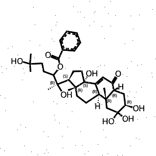 CC(C)(O)CCC(OC(=O)c1ccccc1)[C@](C)(O)[C@H]1CC[C@@]2(O)C3=CC(=O)[C@@H]4C[C@@H](O)C(O)(O)C[C@]4(C)[C@H]3CC[C@]12C